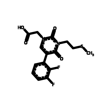 CSCCn1c(=O)c(-c2cccc(F)c2F)cn(CC(=O)O)c1=O